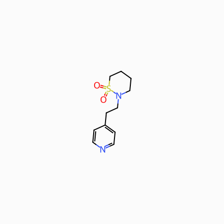 O=S1(=O)CCCCN1CCc1ccncc1